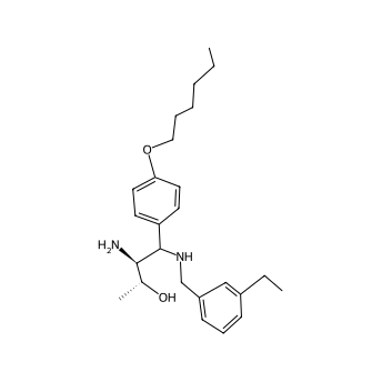 CCCCCCOc1ccc(C(NCc2cccc(CC)c2)[C@H](N)[C@@H](C)O)cc1